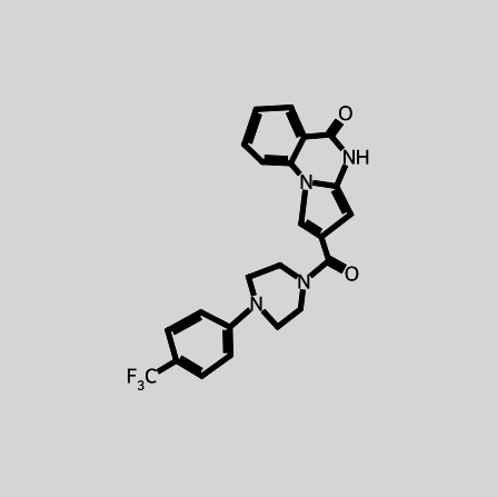 O=C(c1cc2[nH]c(=O)c3ccccc3n2c1)N1CCN(c2ccc(C(F)(F)F)cc2)CC1